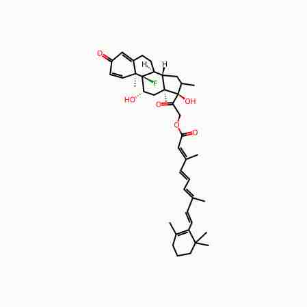 CC1=C(/C=C/C(C)=C/C=C/C(C)=C/C(=O)OCC(=O)[C@@]2(O)C(C)C[C@H]3[C@@H]4CCC5=CC(=O)C=C[C@]5(C)[C@@]4(F)[C@@H](O)C[C@@]32C)C(C)(C)CCC1